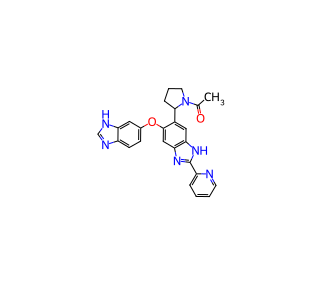 CC(=O)N1CCCC1c1cc2[nH]c(-c3ccccn3)nc2cc1Oc1ccc2nc[nH]c2c1